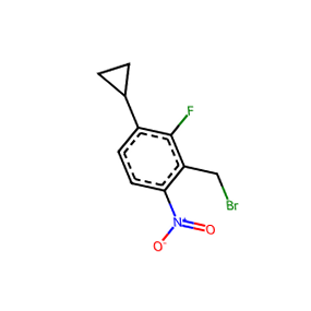 O=[N+]([O-])c1ccc(C2CC2)c(F)c1CBr